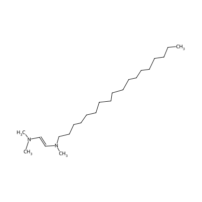 CCCCCCCCCCCCCCCCCCN(C)/C=C/N(C)C